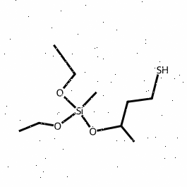 CCO[Si](C)(OCC)OC(C)CCS